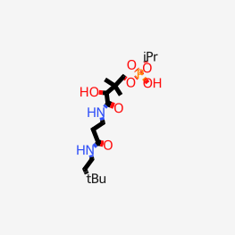 CC(C)OP(=O)(O)OCC(C)(C)C(O)C(=O)NCCC(=O)NCCC(C)(C)C